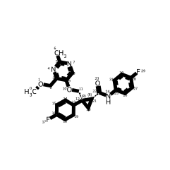 COCc1nc(C)ncc1OC[C@@]1(C2C=CC(F)=CC2)C[C@H]1C(=O)Nc1ccc(F)cc1